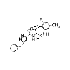 Cc1cc(F)c2c(c1)[C@H]1C[C@H]1[C@@H](NC(=O)c1cn(CC3=CCCC=C3)nn1)C(=O)N2